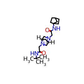 CC(C)(C)NC(=O)CN1C[C@@H]2C[C@H]1CN2CC(=O)NC12CCC(CC1)C2